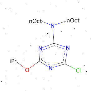 CCCCCCCCN(CCCCCCCC)c1nc(Cl)nc(OC(C)C)n1